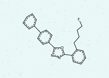 FCCCCc1ccccc1-c1nnc(-c2ccc(-c3ccccc3)cc2)o1